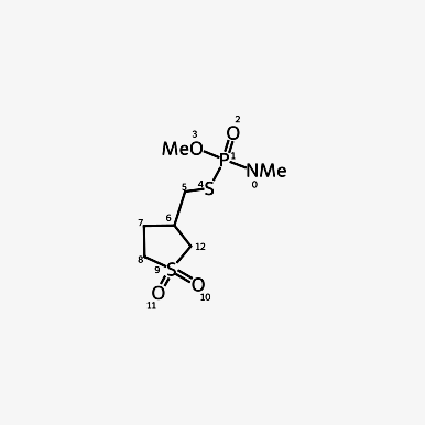 CNP(=O)(OC)SCC1CCS(=O)(=O)C1